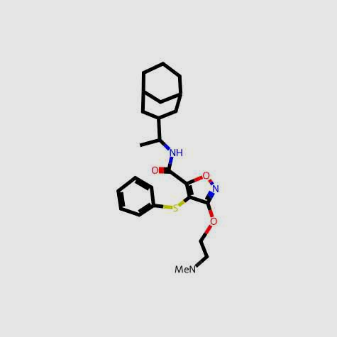 CNCCOc1noc(C(=O)NC(C)C2CC3CCCC(C3)C2)c1Sc1ccccc1